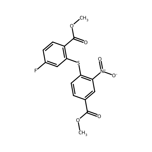 COC(=O)c1ccc(Sc2cc(F)ccc2C(=O)OC)c([N+](=O)[O-])c1